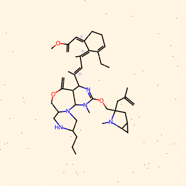 C=C(C)CC1(COC2=NC(/C(C)=C/C(C)=C3\C(CC)=CCC\C3=C\C(=C)OC)C3C(=C)OCC4CNC(CCC)CN4C3N2C)CC2CC2N1C